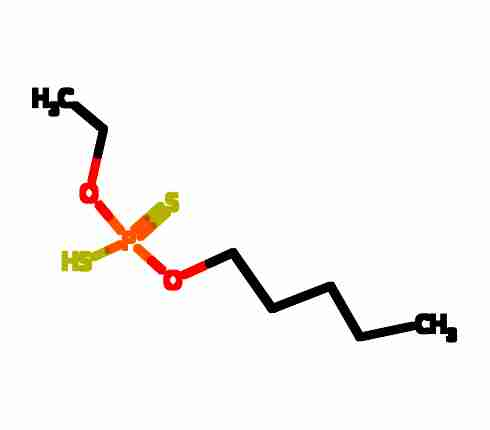 CCCCCOP(=S)(S)OCC